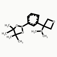 CN(C)C1(c2cccc(B3OC(C)(C)C(C)(C)O3)c2)COC1